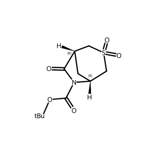 CC(C)(C)OC(=O)N1C(=O)[C@H]2C[C@@H]1CS(=O)(=O)C2